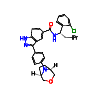 CC(C)C[C@H](NC(=O)c1ccc2[nH]nc(-c3ccc(N4[C@@H]5CC[C@H]4COC5)cc3)c2c1)c1ccccc1Cl